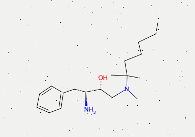 CCCCCC(C)(C)N(C)C[C@@H](O)[C@@H](N)Cc1ccccc1